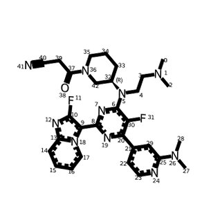 CN(C)CCN(c1nc(-c2c(F)nc3ccccn23)nc(-c2ccnc(N(C)C)c2)c1F)[C@@H]1CCCN(C(=O)CC#N)C1